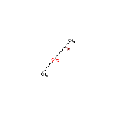 CCCCCCCOC(=O)CCCCCC(Br)CCC